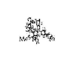 CSc1n[nH]c2nc(Nc3ccc(N4CCOCC4)cc3)nc(Nc3ncc(C(N)=O)o3)c12